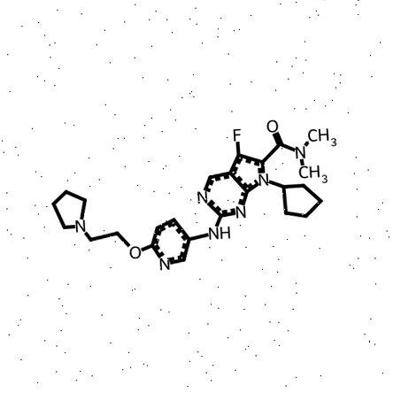 CN(C)C(=O)c1c(F)c2cnc(Nc3ccc(OCCN4CCCC4)nc3)nc2n1C1CCCC1